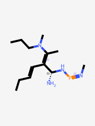 CCC=C/C(=C(/C)N(C)CCC)[C@@H](N)N/P=N\C